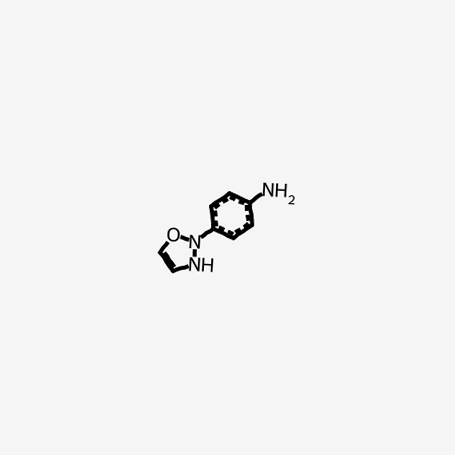 Nc1ccc(N2NC=CO2)cc1